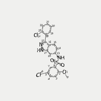 COc1ccc(Cl)cc1S(=O)(=O)Nc1ccc2c(-c3ccccc3Cl)n[nH]c2c1